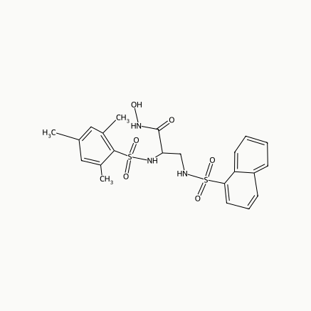 Cc1cc(C)c(S(=O)(=O)NC(CNS(=O)(=O)c2cccc3ccccc23)C(=O)NO)c(C)c1